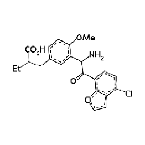 CCC(Cc1ccc(OC)c(C(N)C(=O)c2ccc(Cl)c3ccoc23)c1)C(=O)O